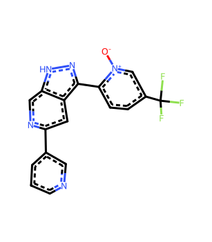 [O-][n+]1cc(C(F)(F)F)ccc1-c1n[nH]c2cnc(-c3cccnc3)cc12